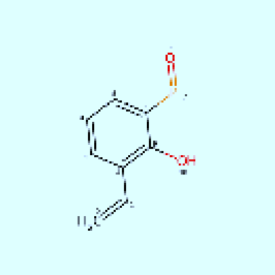 C=Cc1cccc(P=O)c1O